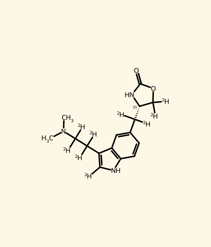 [2H]c1[nH]c2ccc(C([2H])([2H])[C@@H]3NC(=O)OC3([2H])[2H])cc2c1C([2H])([2H])C([2H])([2H])N(C)C